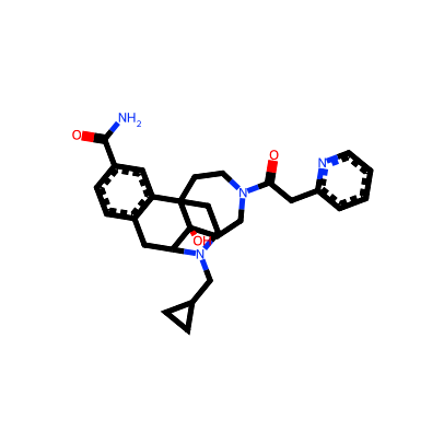 NC(=O)c1ccc2c(c1)C13CCN(C(=O)Cc4ccccn4)CCC1(O)C(C2)N(CC1CC1)CC3